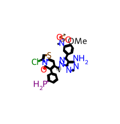 COc1ccc(-c2nn([C@@H](C)c3cc4scc(Cl)n4c(=O)c3-c3cccc(P)c3)c3ncnc(N)c23)cc1N(C)S(C)(=O)=O